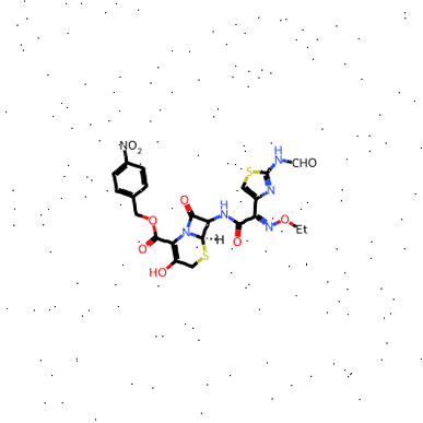 CCO/N=C(/C(=O)NC1C(=O)N2C(C(=O)OCc3ccc([N+](=O)[O-])cc3)=C(O)CS[C@H]12)c1csc(NC=O)n1